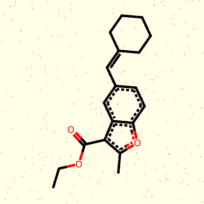 CCOC(=O)c1c(C)oc2ccc(C=C3CCCCC3)cc12